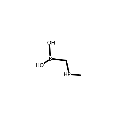 CPCB(O)O